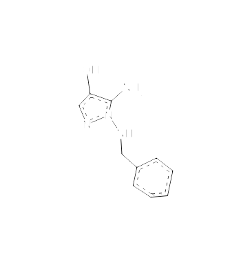 Nc1c(O)cnn1NCc1ccccc1